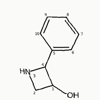 OC1CNC1c1ccccc1